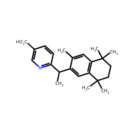 Cc1cc2c(cc1C(C)c1ccc(C(=O)O)cn1)C(C)(C)CCC2(C)C